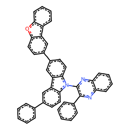 c1ccc(-c2ccc3c(c2)c2cc(-c4ccc5oc6ccccc6c5c4)ccc2n3-c2nc3ccccc3nc2-c2ccccc2)cc1